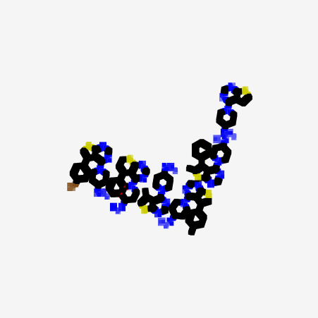 Cc1ccc(-c2csc3ncnc(N4CCC(N)CC4)c23)cc1.Cc1csc2ncnc(N3CCC(N)CC3)c12.Cc1sc2ncnc(N3CCC(N)CC3)c2c1-c1ccccc1.NC1CCN(c2ncnc3c2C(c2ccccc2)=CCS3)CC1.NC1CCN(c2ncnc3scc(-c4ccc(Br)cc4)c23)CC1.NC1CCN(c2ncnc3sccc23)CC1